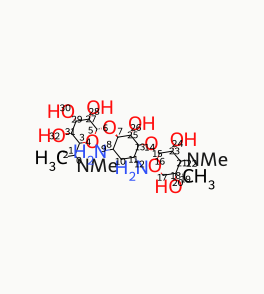 CNC(C)C1O[C@@H](O[C@@H]2C(N)C[C@@H](N)C(O[C@H]3OC[C@](C)(O)C(NC)[C@H]3O)[C@H]2O)C(O)[C@@H](O)[C@@H]1O